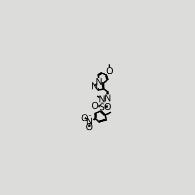 COc1ccn2ncc(/C=N\N(C)S(=O)(=O)c3cc([N+](=O)[O-])ccc3C)c2c1